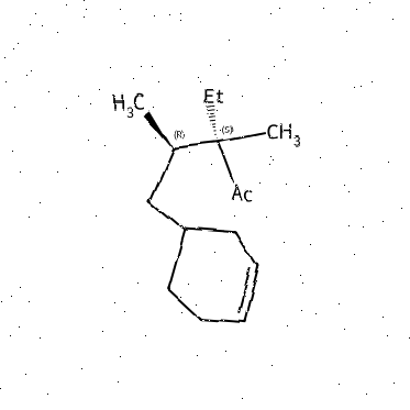 CC[C@](C)(C(C)=O)[C@H](C)CC1CC=CCC1